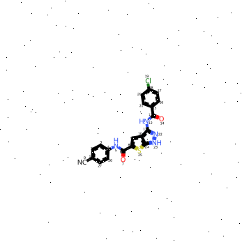 N#Cc1ccc(NC(=O)c2cc3c(NC(=O)c4ccc(Cl)cc4)n[nH]c3s2)cc1